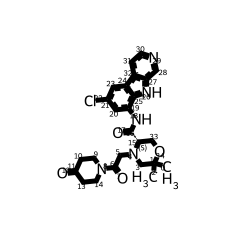 CC1(C)CN(CC(=O)N2CCC(=O)CC2)[C@H](C(=O)Nc2cc(Cl)cc3c2[nH]c2cnccc23)CO1